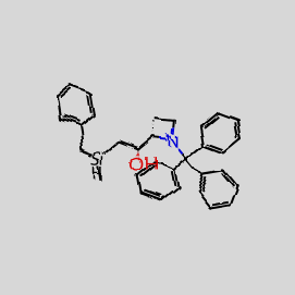 C[SiH](Cc1ccccc1)C[C@@H](O)[C@@H]1CCN1C(c1ccccc1)(c1ccccc1)c1ccccc1